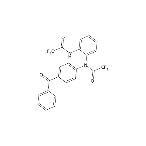 O=C(c1ccccc1)c1ccc(N(C(=O)C(F)(F)F)c2ccccc2NC(=O)C(F)(F)F)cc1